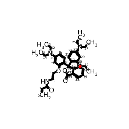 C=CC(=O)NCCOc1cc(N(CC)CC)ccc1C1(c2ccc(N(CC)CC)cc2OCC)OC(=O)c2cccnc21